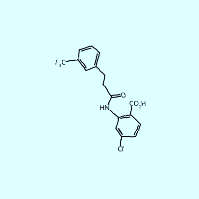 O=C(CCc1cccc(C(F)(F)F)c1)Nc1cc(Cl)ccc1C(=O)O